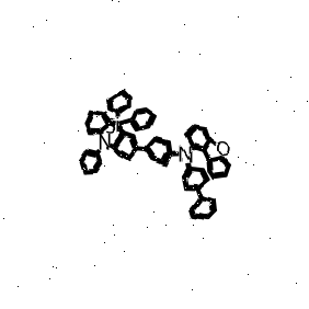 c1ccc(-c2ccc(N(c3ccc(-c4ccc5c(c4)[Si](c4ccccc4)(c4ccccc4)c4ccccc4N5c4ccccc4)cc3)c3cccc4oc5ccccc5c34)cc2)cc1